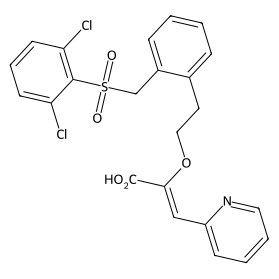 O=C(O)C(=Cc1ccccn1)OCCc1ccccc1CS(=O)(=O)c1c(Cl)cccc1Cl